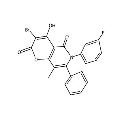 Cc1c(-c2ccccc2)n(-c2cccc(F)c2)c(=O)c2c(O)c(Br)c(=O)oc12